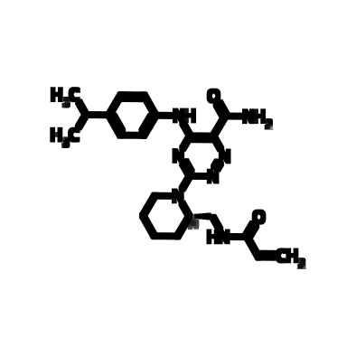 C=CC(=O)NC[C@@H]1CCCCN1c1nnc(C(N)=O)c(Nc2ccc(C(C)C)cc2)n1